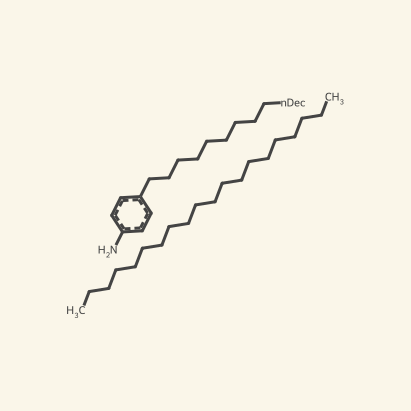 CCCCCCCCCCCCCCCCCCCC.CCCCCCCCCCCCCCCCCCCc1ccc(N)cc1